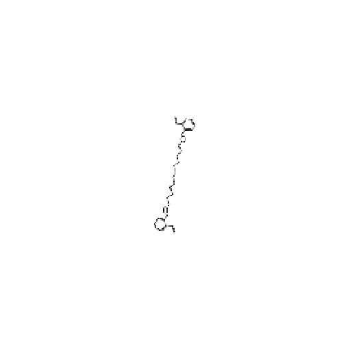 C=Cc1ccccc1COCCCCCCCCCCCCOCc1ccccc1C=C